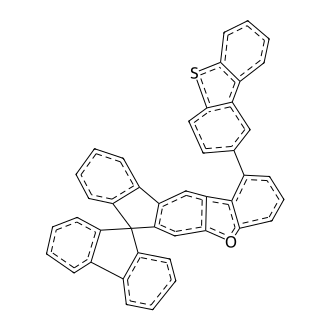 c1ccc2c(c1)-c1ccccc1C21c2ccccc2-c2cc3c(cc21)oc1cccc(-c2ccc4sc5ccccc5c4c2)c13